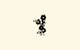 COC(=O)N1c2ccc3c(nc(C(C)Cc4ccccc4)n3C3CCNCC3)c2CC[C@@H]1C